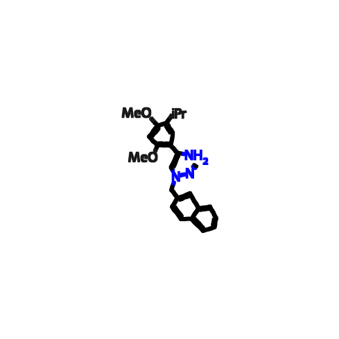 C=NN(/C=C(\N)c1cc(C(C)C)c(OC)cc1OC)Cc1ccc2ccccc2c1